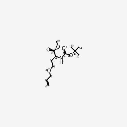 C=CCOCC[C@H](NC(=O)OC(C)(C)C)C(=O)OC